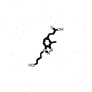 Cc1c(CCC(=O)O)ccc2c1nnn2CCCCO